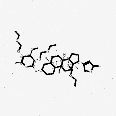 CCOCO[C@@H]1[C@H](O[C@H]2CC[C@@]3(C)[C@H](CC[C@@H]4[C@@H]3CC[C@]3(C)[C@@H](C5=CC(=O)OC5)CC[C@]43OCOCC)C2)O[C@@H](C)[C@H](OCOCC)[C@H]1OC